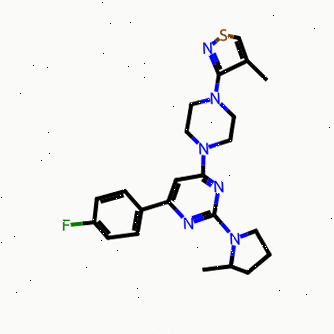 Cc1csnc1N1CCN(c2cc(-c3ccc(F)cc3)nc(N3CCCC3C)n2)CC1